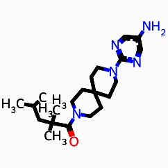 CC(C)CC(C)(C)C(=O)N1CCC2(CC1)CCN(c1ncc(N)cn1)CC2